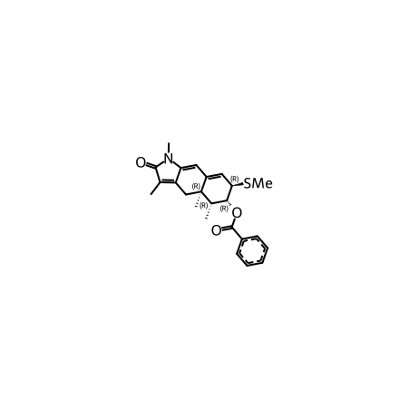 CS[C@@H]1C=C2C=C3C(=C(C)C(=O)N3C)C[C@]2(C)[C@@H](C)[C@H]1OC(=O)c1ccccc1